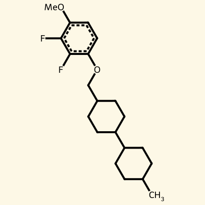 COc1ccc(OCC2CCC(C3CCC(C)CC3)CC2)c(F)c1F